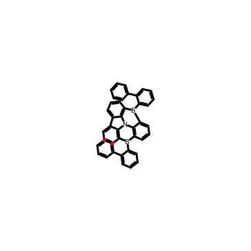 c1ccc(-c2ccccc2B2c3cccc4c3-n3c5c2cccc5c2cccc(c23)B4c2ccccc2-c2ccccc2)cc1